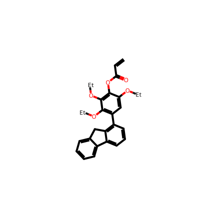 C=CC(=O)Oc1c(OCC)cc(-c2cccc3c2Cc2ccccc2-3)c(OCC)c1OCC